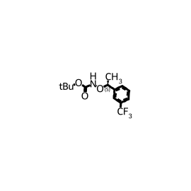 C[C@H](ONC(=O)OC(C)(C)C)c1cccc(C(F)(F)F)c1